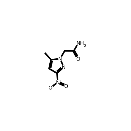 Cc1cc([N+](=O)[O-])nn1CC(N)=O